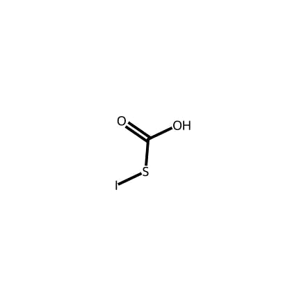 O=C(O)SI